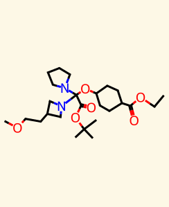 CCOC(=O)C1CCC(OC(C(=O)OC(C)(C)C)(N2CCCC2)N2CC(CCOC)C2)CC1